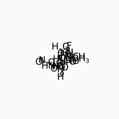 CC[C@@]1(O)C(=O)OCc2c1cc1n(c2=O)Cc2c-1nc1cc(F)c(C)c3c1c2[C@@H](NC(=O)[C@H](OCNC(=O)CNC(=O)[C@H](Cc1ccccc1)NC(=O)CNC(=O)CNC(=O)CCCCCN1CCCC1=O)C1CC1)CC3